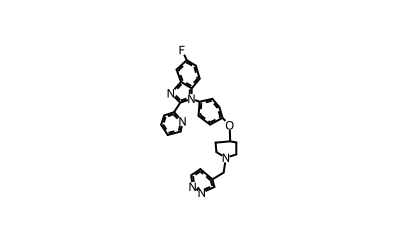 Fc1ccc2c(c1)nc(-c1ccccn1)n2-c1ccc(OC2CCN(Cc3ccnnc3)CC2)cc1